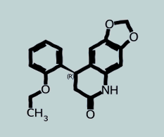 CCOc1ccccc1[C@@H]1CC(=O)Nc2cc3c(cc21)OCO3